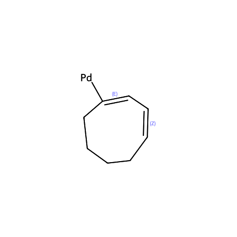 [Pd]/[C]1=C/C=C\CCCC1